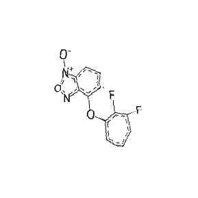 [O-][n+]1onc2c(Oc3cccc(F)c3F)[c]ccc21